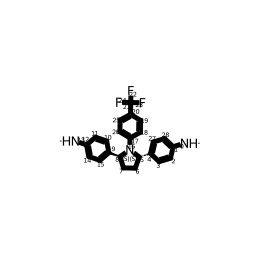 [NH]c1ccc([C@@H]2CC[C@@H](c3ccc([NH])cc3)N2c2ccc(C(F)(F)F)cc2)cc1